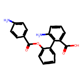 Nc1ccc(C(=O)Oc2ccccc2-c2c(N)cccc2C(=O)O)cc1